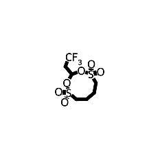 O=S1(=O)CCCCS(=O)(=O)OC(CC(F)(F)F)O1